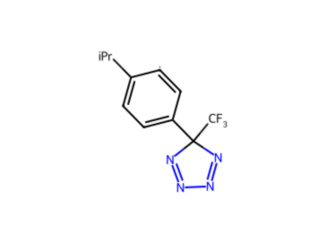 CC(C)c1[c]cc(C2(C(F)(F)F)N=NN=N2)cc1